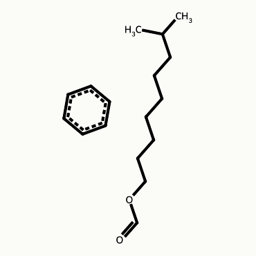 CC(C)CCCCCCCOC=O.c1ccccc1